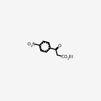 CCOC(=O)CC(=O)c1ccc([N+](=O)[O-])cc1